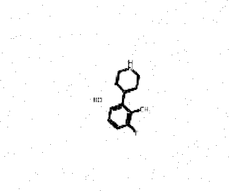 Cc1c(F)cccc1C1CCNCC1.Cl